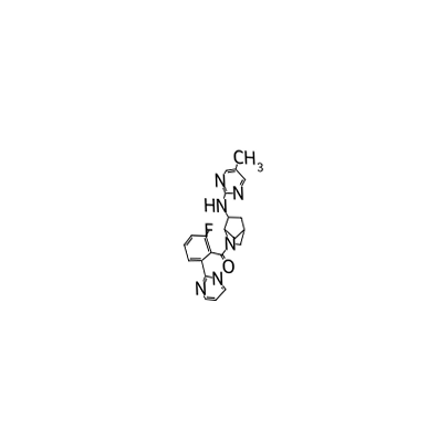 Cc1cnc(NC2CC3CC2N(C(=O)c2c(F)cccc2-c2ncccn2)C3)nc1